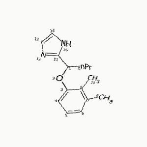 CCCC(Oc1cccc(C)c1C)c1ncc[nH]1